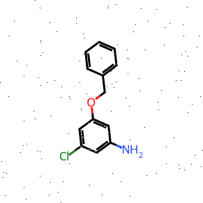 Nc1cc(Cl)cc(OCc2ccccc2)c1